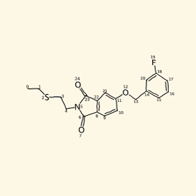 CCSCCN1C(=O)c2ccc(OCc3cccc(F)c3)cc2C1=O